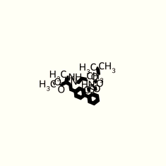 CCCCN1NC(C)=C(C(=O)OC)C1Cc1ccc(-c2ccccc2S(=O)(=O)NC(=O)OCC(C)C)cc1